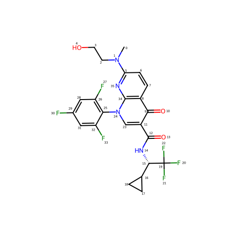 CN(CCO)c1ccc2c(=O)c(C(=O)N[C@@H](C3CC3)C(F)(F)F)cn(-c3c(F)cc(F)cc3F)c2n1